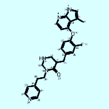 Cc1c[nH]c2nccc(Oc3ccc(CC4CNCN(CCc5ccncc5)C4=O)cc3F)c12